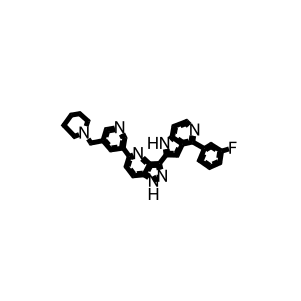 Fc1cccc(-c2nccc3[nH]c(-c4n[nH]c5ccc(-c6cncc(CN7CCCCC7)c6)nc45)cc23)c1